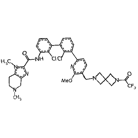 COc1nc(-c2cccc(-c3cccc(NC(=O)c4nc5c(n4C)CCN(C)C5)c3Cl)c2Cl)ccc1CN1CC2(C1)CN(C(=O)C(F)(F)F)C2